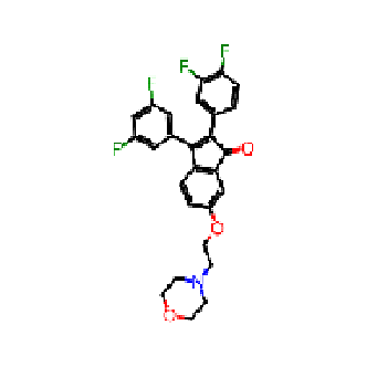 O=C1C(c2ccc(F)c(F)c2)=C(c2cc(F)cc(F)c2)c2ccc(OCCN3CCOCC3)cc21